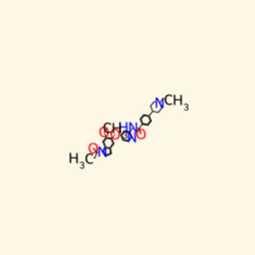 CCC(=O)n1ccc2cc(Oc3ccnc(NC(=O)c4ccc(C5CCN(CC)CC5)cc4)c3)c(OC)cc21